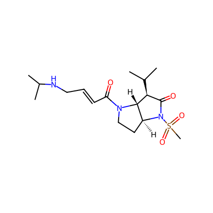 CC(C)NC/C=C/C(=O)N1CC[C@H]2[C@H]1[C@@H](C(C)C)C(=O)N2S(C)(=O)=O